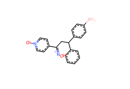 Bc1ccc(C(C/C(=N\O)c2cc[n+]([O-])cc2)c2ccccc2)cc1